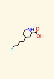 O=C(O)C1CC(CCCCF)CCN1